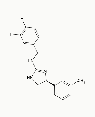 Cc1cccc([C@H]2CNC(NCc3ccc(F)c(F)c3)=N2)c1